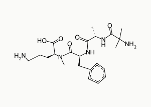 C[C@H](NC(=O)C(C)(C)N)C(=O)N[C@@H](Cc1ccccc1)C(=O)N(C)[C@@H](CCCN)C(=O)O